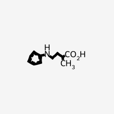 CC(CCNc1ccccc1)C(=O)O